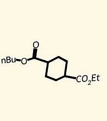 CCCCOC(=O)C1CCC(C(=O)OCC)CC1